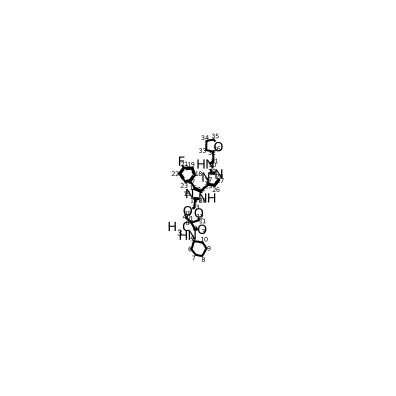 CC1(C(=O)NC2CCCCC2)COC(c2nc(-c3ccc(F)cc3)c(-c3ccnc(NCC4CCCO4)n3)[nH]2)OC1